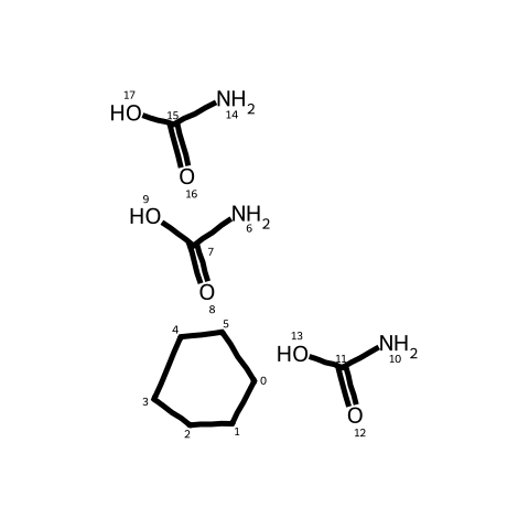 C1CCCCC1.NC(=O)O.NC(=O)O.NC(=O)O